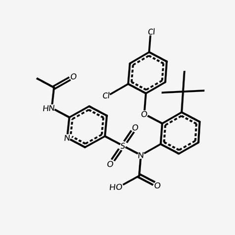 CC(=O)Nc1ccc(S(=O)(=O)N(C(=O)O)c2cccc(C(C)(C)C)c2Oc2ccc(Cl)cc2Cl)cn1